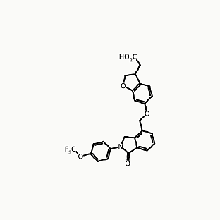 O=C(O)CC1COc2cc(OCc3cccc4c3CN(c3ccc(OC(F)(F)F)cc3)C4=O)ccc21